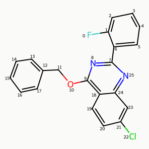 Fc1ccccc1-c1nc(OCc2ccccc2)c2ccc(Cl)cc2n1